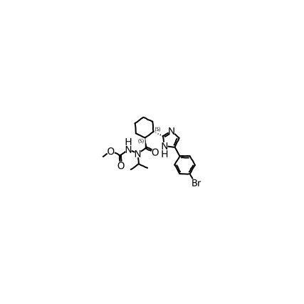 COC(=O)NN(C(=O)[C@H]1CCCC[C@@H]1c1ncc(-c2ccc(Br)cc2)[nH]1)C(C)C